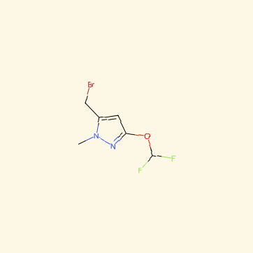 Cn1nc(OC(F)F)cc1CBr